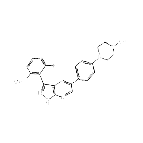 COc1cccc(F)c1-c1n[nH]c2ncc(-c3ccc(N4CCN(C)CC4)cc3)cc12